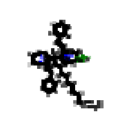 C[N+]1(CC=Cc2ccccc2)C2CCC1CC(C(CCCCCCCCCC(=O)O)(C(=O)O)C1CC3CCC(C1)[N+]3(C)CC=Cc1ccccc1)C2.[Br-].[Br-]